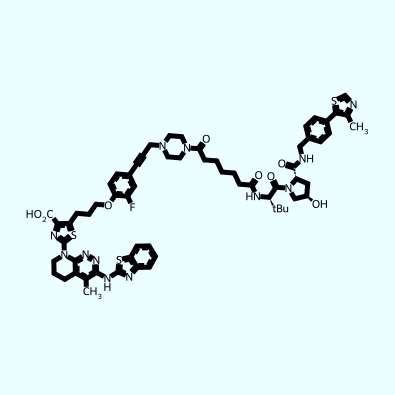 Cc1ncsc1-c1ccc(CNC(=O)[C@@H]2C[C@@H](O)CN2C(=O)[C@@H](NC(=O)CCCCCC(=O)N2CCN(CC#Cc3ccc(OCCCc4sc(N5CCCc6c5nnc(Nc5nc7ccccc7s5)c6C)nc4C(=O)O)c(F)c3)CC2)C(C)(C)C)cc1